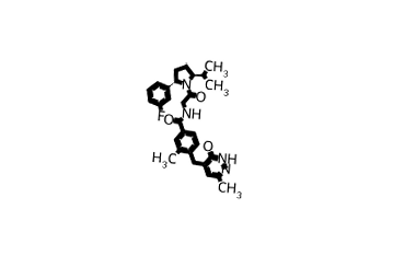 Cc1cc(Cc2ccc(C(=O)NCC(=O)N3[C@H](c4cccc(F)c4)C[CH][C@H]3C(C)C)cc2C)c(=O)[nH]n1